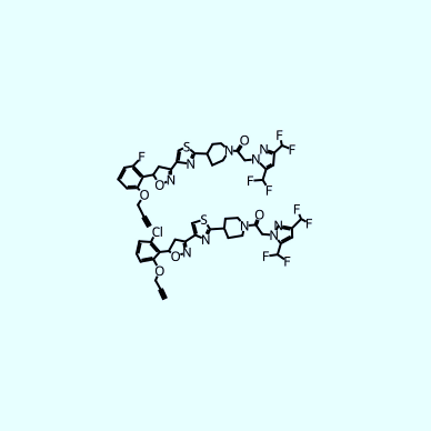 C#CCOc1cccc(Cl)c1C1CC(c2csc(C3CCN(C(=O)Cn4nc(C(F)F)cc4C(F)F)CC3)n2)=NO1.C#CCOc1cccc(F)c1C1CC(c2csc(C3CCN(C(=O)Cn4nc(C(F)F)cc4C(F)F)CC3)n2)=NO1